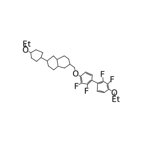 CCOc1ccc(-c2ccc(OCC3CCC4CC(C5CCC(OCC)CC5)CCC4C3)c(F)c2F)c(F)c1F